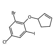 Clc1cc(Br)c(OC2C=CCC2)c(I)c1